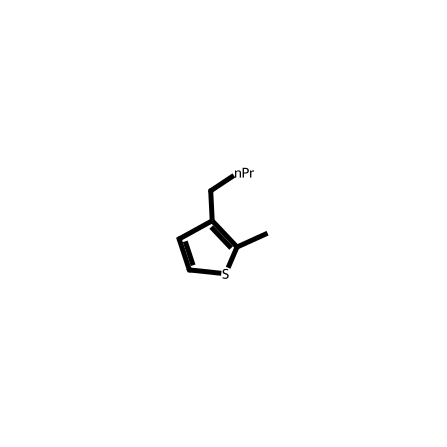 CCCCc1ccsc1C